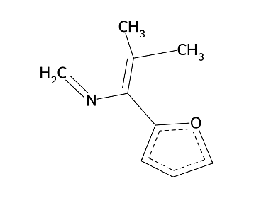 C=NC(=C(C)C)c1ccco1